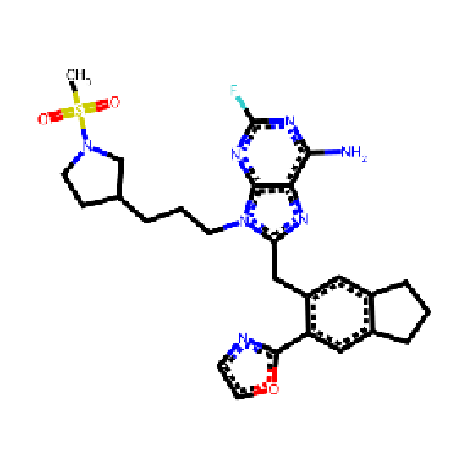 CS(=O)(=O)N1CCC(CCCn2c(Cc3cc4c(cc3-c3ncco3)CCC4)nc3c(N)nc(F)nc32)C1